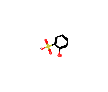 [O]S(=O)(=O)c1ccccc1O